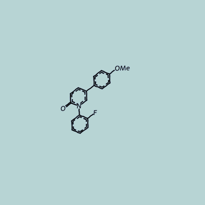 COc1ccc(-c2ccc(=O)n(-c3ccccc3F)c2)cc1